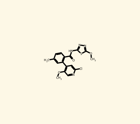 COc1nnc(NC(=O)c2ccc(C)cc2-c2cc(Cl)ncc2OC)s1